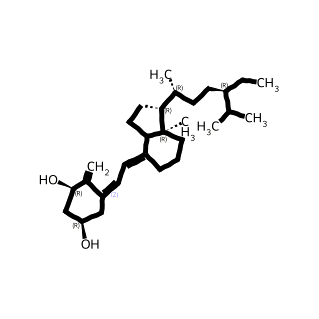 C=C1/C(=C\C=C2CCC[C@@]3(C)C2CC[C@@H]3[C@H](C)CC[C@@H](CC)C(C)C)C[C@@H](O)C[C@H]1O